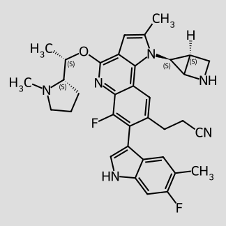 Cc1cc2c(-c3c(CCC#N)cc4c(nc(O[C@@H](C)[C@@H]5CCCN5C)c5cc(C)n([C@@H]6C7NC[C@@H]76)c54)c3F)c[nH]c2cc1F